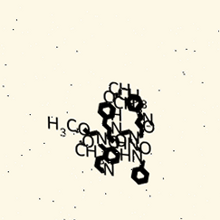 CCOC(CN(Cc1cccc2ncccc12)C(=O)C(Cc1ccc(OC(C)(C)C)cc1)NC(=O)CN(Cc1cc(-c2ccccc2)no1)NC(=O)NCc1ccccc1)OCC